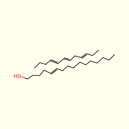 CCC=CCC=CC=CCCC.CCCCCCCCCCC=CCCCCO